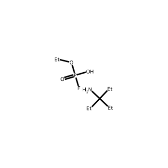 CCC(N)(CC)CC.CCOP(=O)(O)F